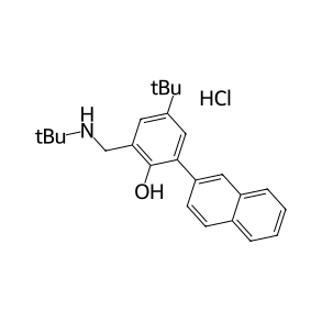 CC(C)(C)NCc1cc(C(C)(C)C)cc(-c2ccc3ccccc3c2)c1O.Cl